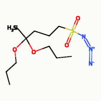 CCCOC([SiH3])(CCCS(=O)(=O)N=[N+]=[N-])OCCC